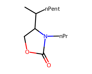 CCCCCC(C)C1COC(=O)N1CCC